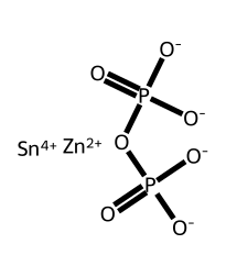 O=P([O-])([O-])OP(=O)([O-])[O-].[Sn+4].[Zn+2]